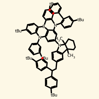 CC(C)(C)c1ccc(C(Cc2ccc3c(c2)C2(C)CCCCC2(C)N3c2cc3c4c(c2)N(c2ccc(C(C)(C)C)cc2-c2ccccc2)c2cc(C(C)(C)C)ccc2B4c2ccc(C(C)(C)C)cc2N3c2cccc(C(C)(C)C)c2)c2ccc(C(C)(C)C)cc2)cc1